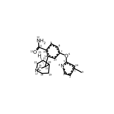 Cc1ccnc(Oc2ccc(C(N)=O)c([C@@H]3CN4CCC3CC4)c2)c1